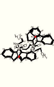 CC[SiH2][Zr]([Cl])([Cl])([CH2][CH2][Zr]([Cl])([Cl])([SiH2]CC)([CH]1C=Cc2ccccc21)[CH]1C=Cc2ccccc21)([CH]1C=Cc2ccccc21)[CH]1C=Cc2ccccc21